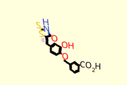 O=C1NC(=S)S/C1=C/c1ccc(OCc2cccc(C(=O)O)c2)c(O)c1